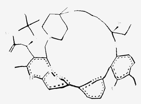 CC[C@H]1CCCOC2(C)CCN(CC2)c2c([C@H](OC(C)(C)C)C(=O)O)c(C)nc3cc(nn23)-c2cccc(c2)-c2c(ccc(C)c2F)O1